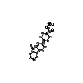 Cn1c2ccncc2c2ccc(N3CCN(C(=O)OC(C)(C)C)CC3)cc21